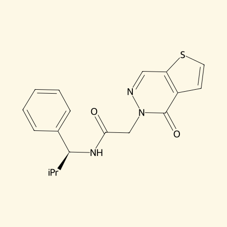 CC(C)[C@H](NC(=O)Cn1ncc2sccc2c1=O)c1ccccc1